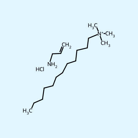 C=CCN.CCCCCCCCCCCC[N+](C)(C)C.Cl